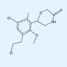 COc1c(CCCl)cc(Cl)c(C)c1C1CNC(=O)CO1